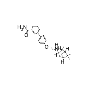 C[C@@H]1[C@H]2C[C@@H](C[C@H]1NCCOc1ccc(-c3cccc(C(N)=O)c3)cc1)C2(C)C